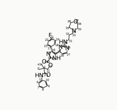 CC1(C(=O)Nc2ccccc2)COC(c2nc(-c3ccc(F)cc3)c(-c3ccnc(NCCCN4CCOCC4)n3)[nH]2)OC1